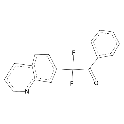 O=C(c1ccccc1)C(F)(F)c1ccc2cccnc2c1